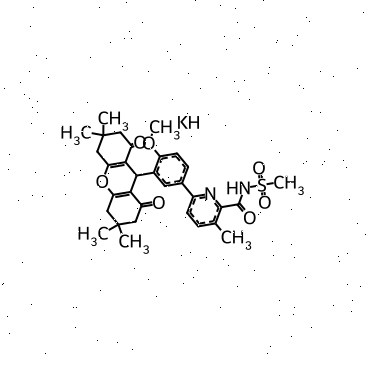 COc1ccc(-c2ccc(C)c(C(=O)NS(C)(=O)=O)n2)cc1C1C2=C(CC(C)(C)CC2=O)OC2=C1C(=O)CC(C)(C)C2.[KH]